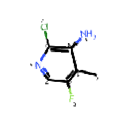 Cc1c(F)cnc(Cl)c1N